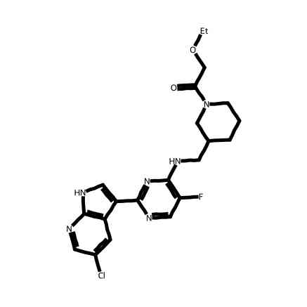 CCOCC(=O)N1CCCC(CNc2nc(-c3c[nH]c4ncc(Cl)cc34)ncc2F)C1